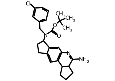 CC(C)(C)OC(=O)N(Cc1cccc(Cl)c1)C1CCc2cc3c(cc21)N=C(N)C1CCCC31